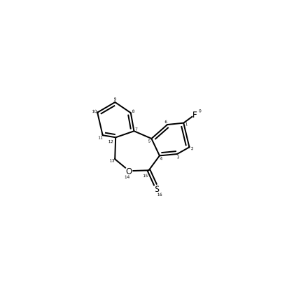 Fc1ccc2c(c1)-c1ccccc1COC2=S